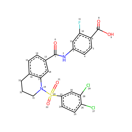 O=C(Nc1ccc(C(=O)O)c(F)c1)c1ccc2c(c1)N(S(=O)(=O)c1ccc(Cl)c(Cl)c1)CCC2